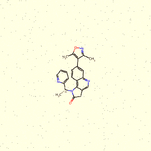 Cc1noc(C)c1-c1ccc2c3c(cnc2c1)CC(=O)N3[C@H](C)c1ccccn1